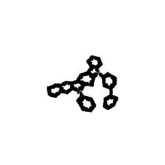 c1ccc(-c2cccc(-n3c4ccccc4c4cc5c6cc7ccccc7cc6n(-c6ccccc6)c5cc43)c2)cc1